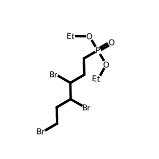 CCOP(=O)(CCC(Br)C(Br)CCBr)OCC